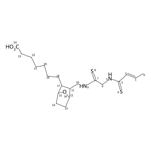 CC=CC(=S)NCC(=S)NCC1C2CCC(O2)C1CCCCCCC(=O)O